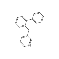 c1ccc(-c2ccccc2Cc2cccnn2)cc1